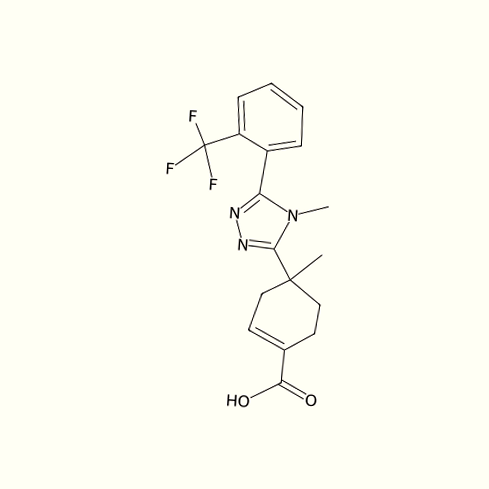 Cn1c(-c2ccccc2C(F)(F)F)nnc1C1(C)CC=C(C(=O)O)CC1